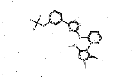 COc1nn(C)c(=O)n1-c1ccccc1Oc1nc(-c2cccc(OC(F)(F)F)c2)ns1